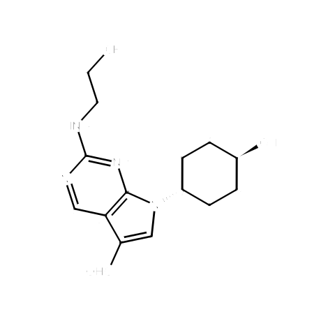 O=Cc1cn([C@H]2CC[C@H](O)CC2)c2nc(NCCC(F)(F)F)ncc12